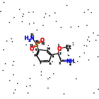 CCOC(C=N)c1cccc(S(N)(=O)=O)c1